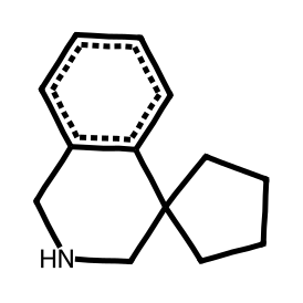 c1ccc2c(c1)CNCC21CCCC1